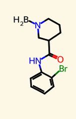 BN1CCCC(C(=O)Nc2ccccc2Br)C1